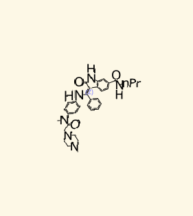 CCCNC(=O)c1ccc2c(c1)NC(=O)/C2=C(\Nc1ccc(N(C)C(=O)CN2CCN(C)CC2)cc1)c1ccccc1